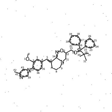 COc1cc(/C=C2\CCCN3CC(CO[Si](c4ccccc4)(c4ccccc4)C(C)(C)C)ON=C23)ccc1-n1cnc(C)c1